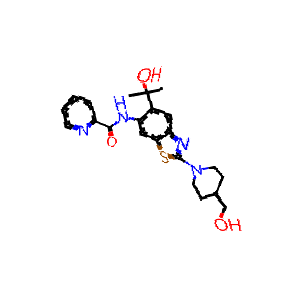 CC(C)(O)c1cc2nc(N3CCC(CO)CC3)sc2cc1NC(=O)c1ccccn1